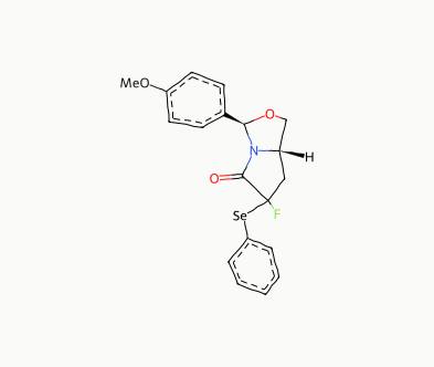 COc1ccc([C@H]2OC[C@@H]3CC(F)([Se]c4ccccc4)C(=O)N32)cc1